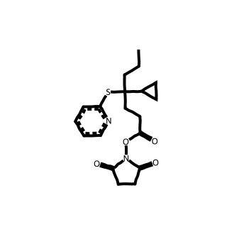 CCCC(CCC(=O)ON1C(=O)CCC1=O)(Sc1ccccn1)C1CC1